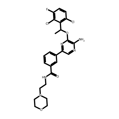 CC(Oc1nc(-c2cccc(C(=O)NCCN3CCOCC3)c2)cnc1N)c1c(Cl)ccc(F)c1Cl